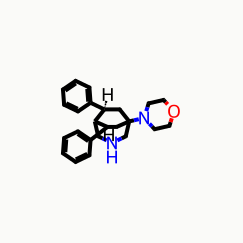 c1ccc([C@H]2CC3(N4CCOCC4)CNCC2[C@H](c2ccccc2)C3)cc1